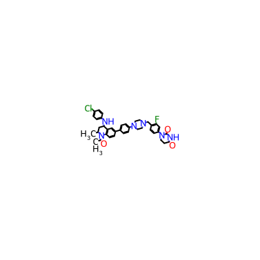 CC(=O)N1c2ccc(-c3ccc(N4CCN(Cc5ccc(N6CCC(=O)NC6=O)cc5F)CC4)cc3)cc2C(Nc2ccc(Cl)cc2)CC1C